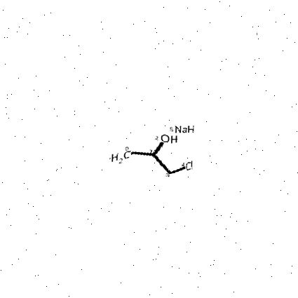 [CH2]C(O)CCl.[NaH]